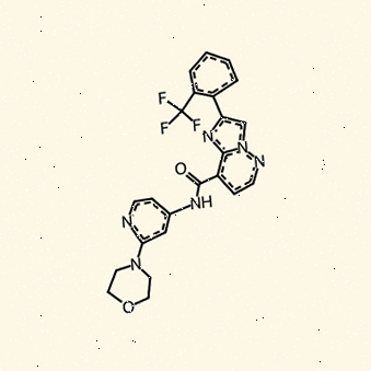 O=C(Nc1ccnc(N2CCOCC2)c1)c1ccnn2cc(-c3ccccc3C(F)(F)F)nc12